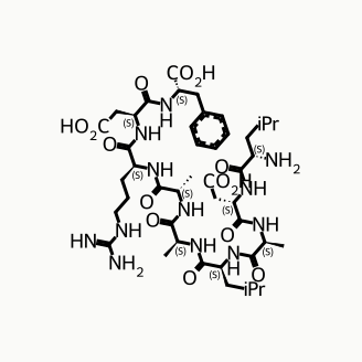 CC(C)C[C@H](NC(=O)[C@H](C)NC(=O)[C@H](CC(=O)O)NC(=O)[C@@H](N)CC(C)C)C(=O)N[C@@H](C)C(=O)N[C@@H](C)C(=O)N[C@@H](CCCNC(=N)N)C(=O)N[C@@H](CC(=O)O)C(=O)N[C@@H](Cc1ccccc1)C(=O)O